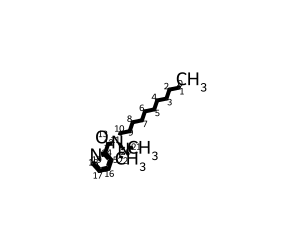 CCCCCCCCCCCN(C(=O)c1ccccn1)N(C)C